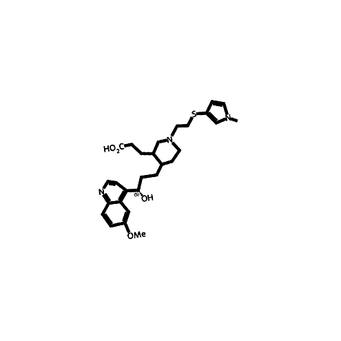 COc1ccc2nccc([C@@H](O)CCC3CCN(CCSc4ccn(C)c4)CC3CCC(=O)O)c2c1